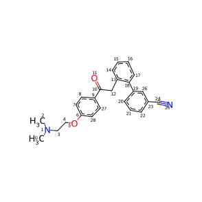 CN(C)CCOc1ccc(C(=O)Cc2ccccc2-c2cccc(C#N)c2)cc1